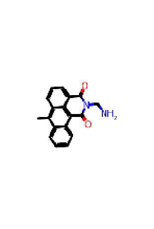 Cc1c2ccccc2c2c3c(cccc13)C(=O)N(CN)C2=O